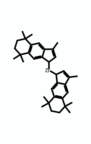 CC1=C[CH]([Zr][CH]2C=C(C)c3cc4c(cc32)C(C)(C)CCC4(C)C)c2cc3c(cc21)C(C)(C)CCC3(C)C